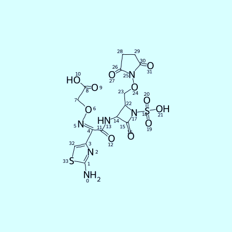 Nc1nc(C(=NOCC(=O)O)C(=O)NC2C(=O)N(S(=O)(=O)O)C2CON2C(=O)CCC2=O)cs1